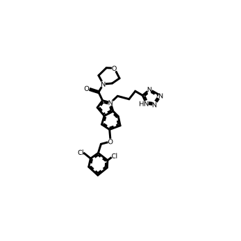 O=C(c1cc2cc(OCc3c(Cl)cccc3Cl)ccc2n1CCCc1nnn[nH]1)N1CCOCC1